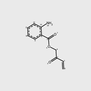 C=CC(=O)COC(=O)c1ccccc1N